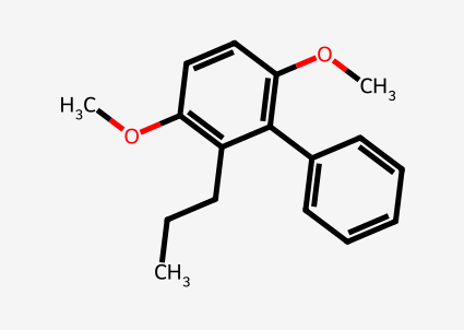 CCCc1c(OC)ccc(OC)c1-c1ccccc1